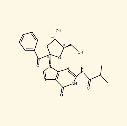 CC(C)C(=O)Nc1nc2c(ncn2[C@@]2(C(=O)c3ccccc3)C[C@H](O)[C@@H](CO)O2)c(=O)[nH]1